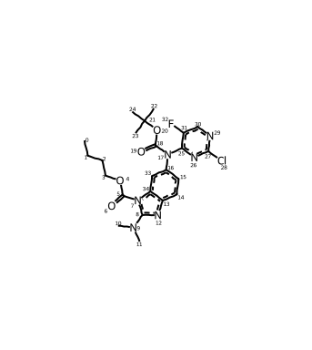 CCCCOC(=O)n1c(N(C)C)nc2ccc(N(C(=O)OC(C)(C)C)c3nc(Cl)ncc3F)cc21